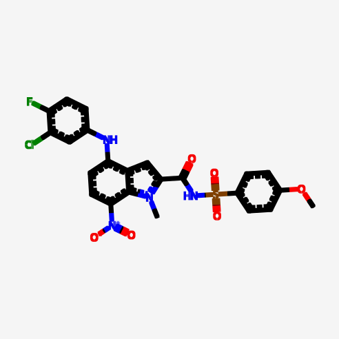 COc1ccc(S(=O)(=O)NC(=O)c2cc3c(Nc4ccc(F)c(Cl)c4)ccc([N+](=O)[O-])c3n2C)cc1